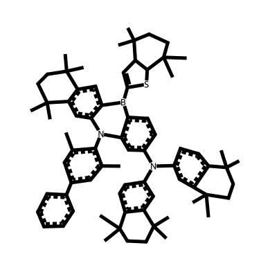 Cc1cc(-c2ccccc2)cc(C)c1N1c2cc(N(c3ccc4c(c3)C(C)(C)CCC4(C)C)c3ccc4c(c3)C(C)(C)CCC4(C)C)ccc2B(C2=CC3C(S2)C(C)(C)CCC3(C)C)c2cc3c(cc21)C(C)(C)CCC3(C)C